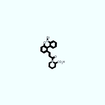 CCOc1ccccc1-c1c(Cl)[c]ccc1/C=C/C(=O)N1CCCCC1C(=O)O